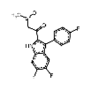 C[S+]([O-])CC(=O)c1[nH]c2cc(F)c(F)cc2c1-c1ccc(F)cc1